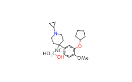 COc1ccc(C2(C#N)CCN(C3CC3)CC2)cc1OC1CCCC1.O=C(O)O